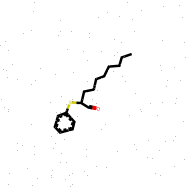 CCCCCCCCC(C=O)Sc1ccccc1